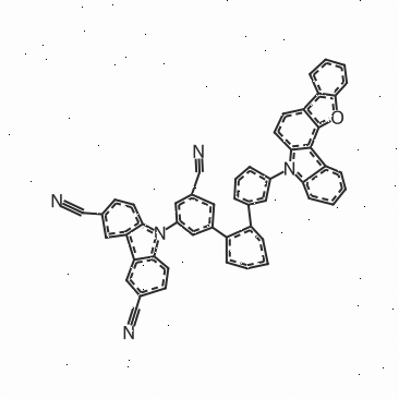 N#Cc1cc(-c2ccccc2-c2cccc(-n3c4ccccc4c4c5oc6ccccc6c5ccc43)c2)cc(-n2c3ccc(C#N)cc3c3cc(C#N)ccc32)c1